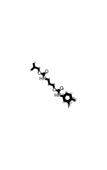 CC(C)COC(=O)NCCCOC(=O)Nc1ccc(F)c(F)c1